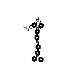 Cc1cccc(N(c2ccc(-c3ccc(/C=C/c4ccc(-c5ccc(N(c6ccccc6)c6ccccc6)cc5)cc4)cc3)cc2)c2ccccc2C)c1